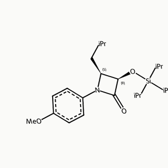 COc1ccc(N2C(=O)[C@H](O[Si](C(C)C)(C(C)C)C(C)C)[C@@H]2CC(C)C)cc1